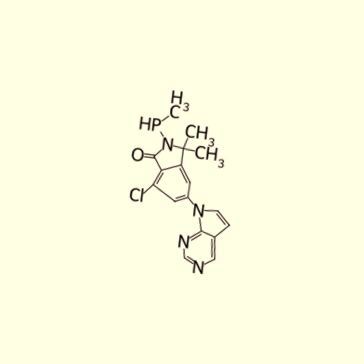 CPN1C(=O)c2c(Cl)cc(-n3ccc4cncnc43)cc2C1(C)C